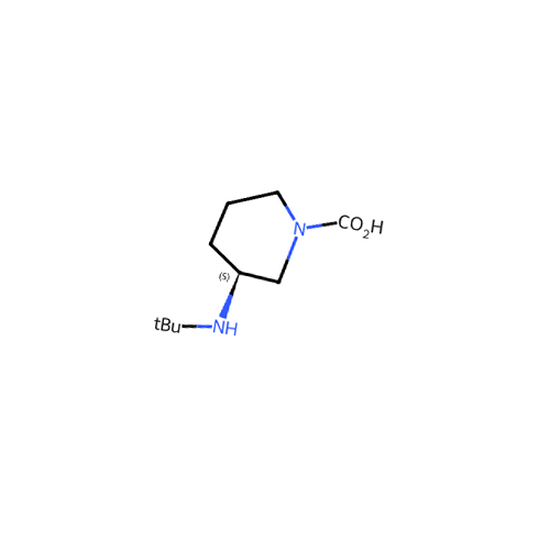 CC(C)(C)N[C@H]1CCCN(C(=O)O)C1